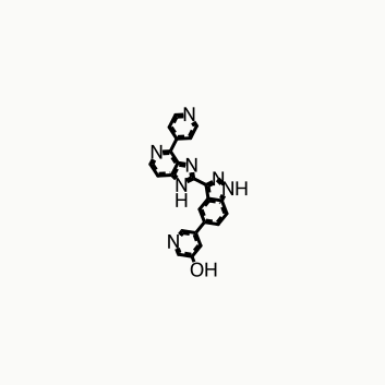 Oc1cncc(-c2ccc3[nH]nc(-c4nc5c(-c6ccncc6)nccc5[nH]4)c3c2)c1